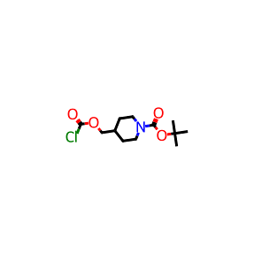 CC(C)(C)OC(=O)N1CCC(COC(=O)Cl)CC1